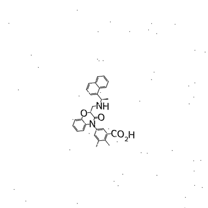 Cc1cc(N2C(=O)C(CN[C@H](C)c3cccc4ccccc34)Oc3ccccc32)cc(C(=O)O)c1C